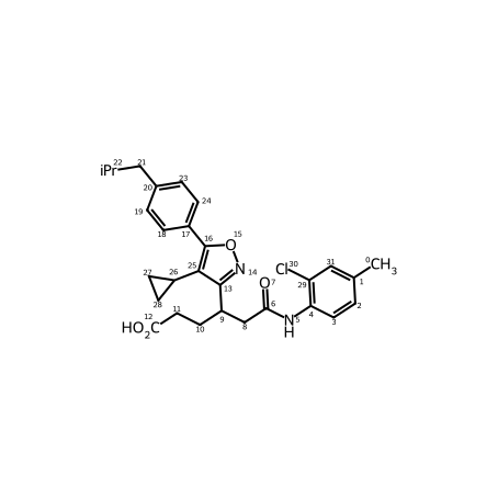 Cc1ccc(NC(=O)CC(CCC(=O)O)c2noc(-c3ccc(CC(C)C)cc3)c2C2CC2)c(Cl)c1